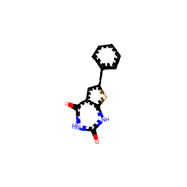 O=c1[nH]c(=O)c2cc(-c3ccccc3)sc2[nH]1